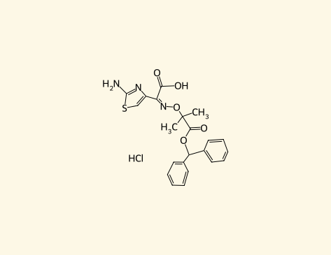 CC(C)(ON=C(C(=O)O)c1csc(N)n1)C(=O)OC(c1ccccc1)c1ccccc1.Cl